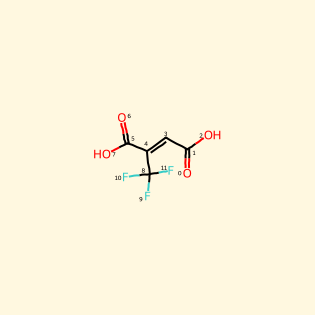 O=C(O)C=C(C(=O)O)C(F)(F)F